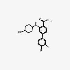 NC(=O)c1ccc(-c2ccc(F)c(F)c2)cc1NC1CCC(O)CC1